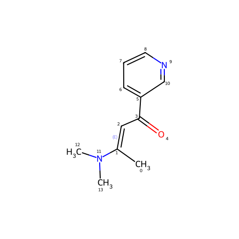 C/C(=C\C(=O)c1cccnc1)N(C)C